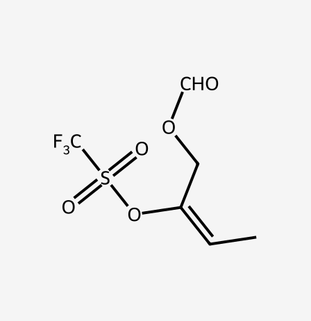 C/C=C(\COC=O)OS(=O)(=O)C(F)(F)F